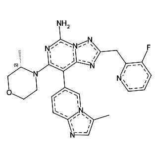 Cc1cnc2ccc(-c3c(N4CCOC[C@@H]4C)nc(N)n4nc(Cc5ncccc5F)nc34)cn12